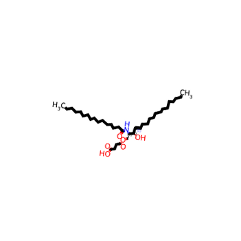 CCCCCCCCCCCCC/C=C/[C@@H](O)[C@H](COC(=O)CCC(=O)O)NC(=O)CCCCCCCCCCCCCCC